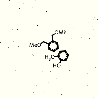 COCc1ccccc1COC.Cc1ccccc1O